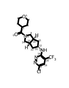 O=C(C1CCOCC1)N1C[C@H]2C[C@H](Nc3nnc(Cl)cc3C(F)(F)F)C[C@H]2C1